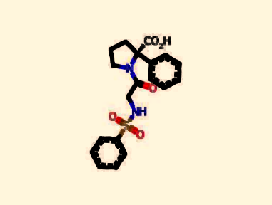 O=C(CNS(=O)(=O)c1ccccc1)N1CCC[C@]1(C(=O)O)c1ccccc1